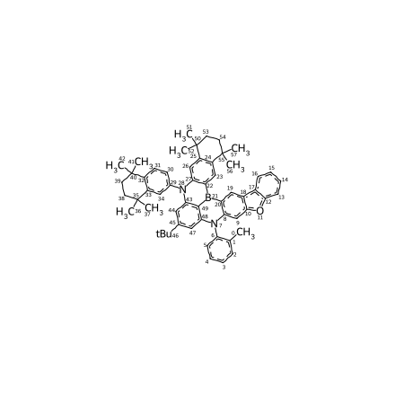 Cc1ccccc1N1c2cc3oc4ccccc4c3cc2B2c3cc4c(cc3N(c3ccc5c(c3)C(C)(C)CCC5(C)C)c3cc(C(C)(C)C)cc1c32)C(C)(C)CCC4(C)C